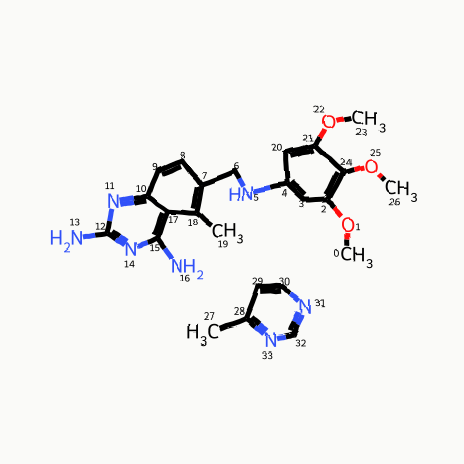 COc1cc(NCc2ccc3nc(N)nc(N)c3c2C)cc(OC)c1OC.Cc1ccncn1